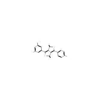 [C-]#[N+]c1cc(C#N)cc(C2=C3C(=O)NC(c4ccc(C(F)(F)F)cc4)=C3C(=O)N2)c1